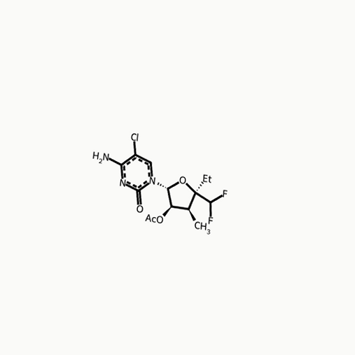 CC[C@@]1(C(F)F)O[C@@H](n2cc(Cl)c(N)nc2=O)[C@H](OC(C)=O)[C@@H]1C